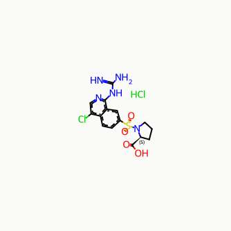 Cl.N=C(N)Nc1ncc(Cl)c2ccc(S(=O)(=O)N3CCC[C@H]3C(=O)O)cc12